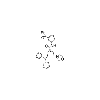 CCC(=O)c1cccc(NC(=O)N(CCC(c2ccccc2)c2ccccc2)CCN2CCOCC2)c1